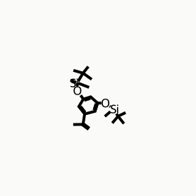 C=C(C)c1cc(O[Si](C)(C)C(C)(C)C)cc(O[Si](C)(C)C(C)(C)C)c1